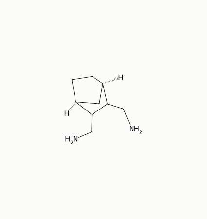 NCC1C(CN)[C@H]2CC[C@@H]1C2